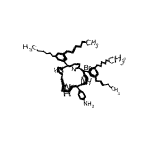 CCCCCCc1cc(CCCCCC)cc(/C2=C3\C=CC(=N3)C(Br)(c3cc(CCCCCC)cc(CCCCCC)c3)c3ccc([nH]3)/C(c3ccc(N)cc3)=c3/cc/c([nH]3)=C/c3ccc2[nH]3)c1